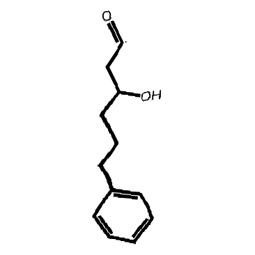 O=[C]CC(O)CCCc1ccccc1